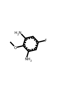 COc1c(N)cc(F)cc1N